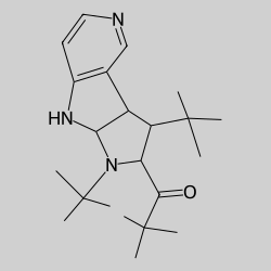 CC(C)(C)C(=O)C1C(C(C)(C)C)C2c3cnccc3NC2N1C(C)(C)C